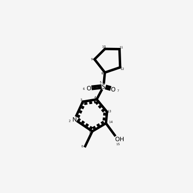 Cc1ncc(S(=O)(=O)C2CCCC2)cc1O